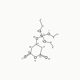 CCO[Si](OCC)(OCC)OC1CC(=O)OC(=O)C1